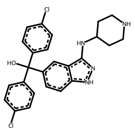 OC(c1ccc(Cl)cc1)(c1ccc(Cl)cc1)c1ccc2[nH]nc(NC3CCNCC3)c2c1